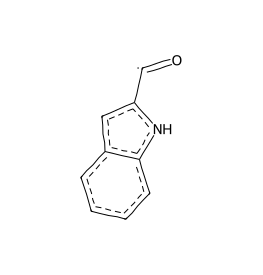 O=[C]c1cc2ccccc2[nH]1